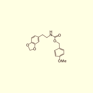 COc1ccc(COC(=O)NCCc2ccc3c(c2)OCO3)cc1